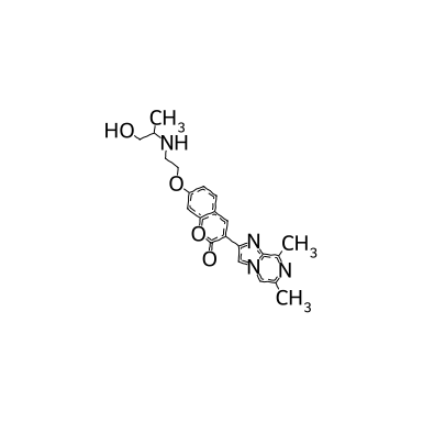 Cc1cn2cc(-c3cc4ccc(OCCNC(C)CO)cc4oc3=O)nc2c(C)n1